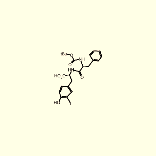 CC(C)(C)OC(=O)N[C@@H](Cc1ccccc1)C(=O)N[C@@H](Cc1ccc(O)c(I)c1)C(=O)O